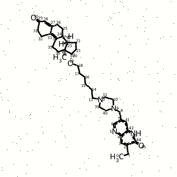 CCc1cc2ncc(CN3CCN(CCCCCCO[C@H]4CC[C@H]5[C@@H]6CCC7=CC(=O)CCC7=C6CC[C@]45C)CC3)cc2[nH]c1=O